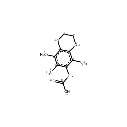 Cc1c(C)c2c(c(C)c1OC(=O)O)OCCO2